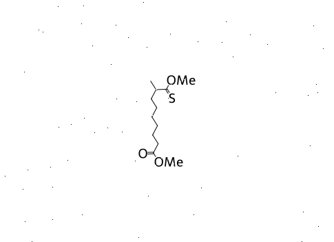 COC(=O)CCCCCCC(C)C(=S)OC